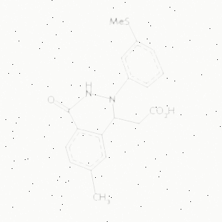 CSc1cccc(N2NC(=O)c3ccc(C)cc3C2CC(=O)O)c1